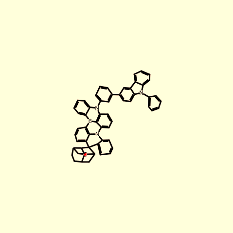 c1ccc(-n2c3ccccc3c3cc(-c4cccc(N5c6ccccc6B6c7cccc8c7N(c7ccccc7C87C8CCC9CCC(C8)CC97)c7cccc5c76)c4)ccc32)cc1